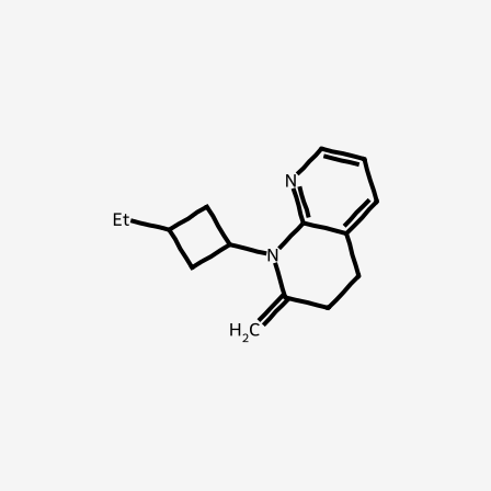 C=C1CCc2cccnc2N1C1CC(CC)C1